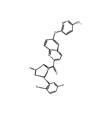 O=C(c1ccc2cc(Oc3ccc(C(F)(F)F)cn3)ccc2n1)N1C[C@H](F)C[C@@H]1c1cc(F)ccc1F